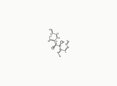 C=C/C=C\C(=C/C)C(=O)C(=O)C(/C=C\C=C)=C/C